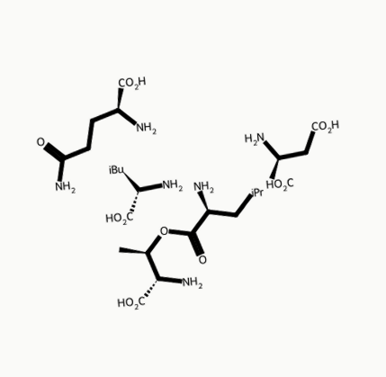 CC(C)C[C@H](N)C(=O)O[C@H](C)[C@H](N)C(=O)O.CC[C@H](C)[C@H](N)C(=O)O.NC(=O)CC[C@H](N)C(=O)O.N[C@@H](CC(=O)O)C(=O)O